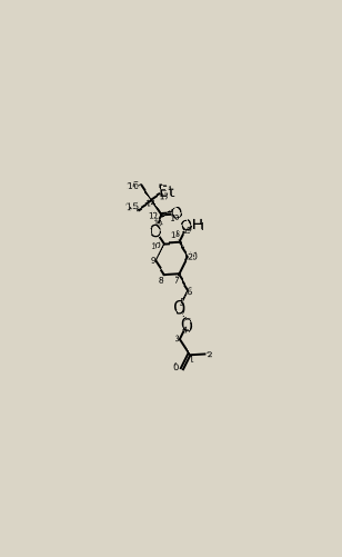 C=C(C)COOCC1CCC(OC(=O)C(C)(C)CC)C(O)C1